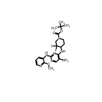 COc1ncccc1Nc1ncc(N)c(NC2CCN(C(=O)OC(C)(C)C)CC2(F)F)n1